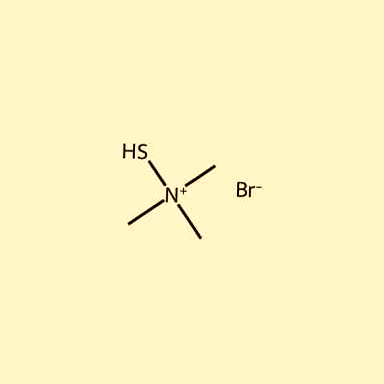 C[N+](C)(C)S.[Br-]